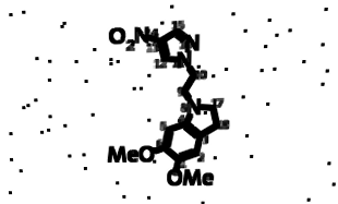 COc1cc2c(cc1OC)N(CCn1cc([N+](=O)[O-])cn1)CC2